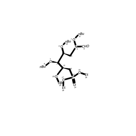 CCCCO[C@@H]([C@H](CN(C=O)OCCCC)OCCCC)[C@@H](CP(=O)(OCC)OCC)OCCCC